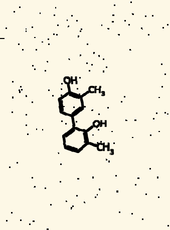 Cc1cc(-c2cccc(C)c2O)ccc1O